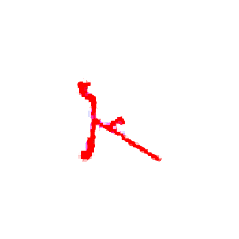 CC[C@@]1(O)C(=O)OCc2c1cc1n(c2=O)Cc2cc3cc(OC(=O)CCC(=O)NCCN(CCNC(=O)CCC(=O)Oc4ccc5nc6c(cc5c4)Cn4c-6cc5c(c4=O)COC(=O)[C@]5(O)CC)C(=O)CCCNC(=O)C(CCC(=O)NCCOCCOCCOCCOCCOCCOCCOCCOC)NC(=O)CCCN4C(=O)C=CC4=O)ccc3nc2-1